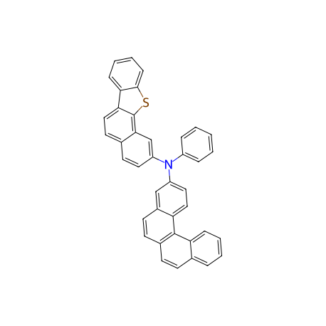 c1ccc(N(c2ccc3c(ccc4ccc5ccccc5c43)c2)c2ccc3ccc4c5ccccc5sc4c3c2)cc1